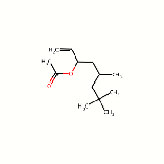 C=CC(CC(C)CC(C)(C)C)OC(C)=O